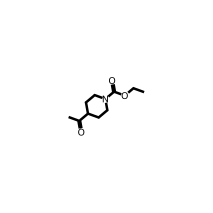 CCOC(=O)N1CCC(C(C)=O)CC1